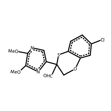 COc1ncc(C2(C=O)COc3cc(Cl)ccc3S2)nc1OC